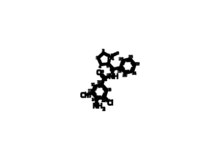 CN1CCCC1C(NC(=O)c1cc(Cl)c(N)c(Cl)c1)c1ccccc1